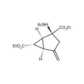 C=C1C[C@@](NC(C)=O)(C(=O)OCC)[C@H]2[C@@H]1[C@@H]2C(=O)OCC